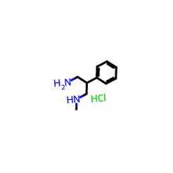 CNCC(CN)c1ccccc1.Cl